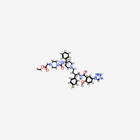 CCOC(=O)CN1CCN(C(=O)NC2(c3ccccc3)CCN(CCC(CN(C)C(=O)c3cc(-n4cnnn4)ccc3OC)c3ccc(F)cc3)CC2)CC1